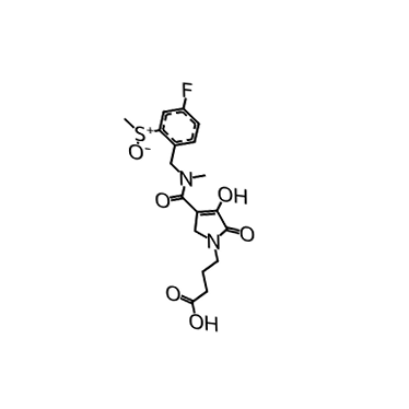 CN(Cc1ccc(F)cc1[S+](C)[O-])C(=O)C1=C(O)C(=O)N(CCCC(=O)O)C1